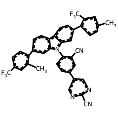 Cc1ccc(-c2ccc3c4ccc(-c5ccc(C(F)(F)F)cc5C)cc4n(-c4ccc(-c5cnc(C#N)nc5)cc4C#N)c3c2)c(C(F)(F)F)c1